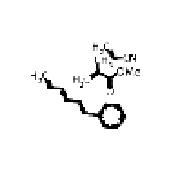 C=C(C)C(=O)OC.C=CC#N.C=CC=CC=Cc1ccccc1